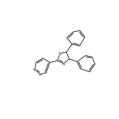 c1ccc(C2N=C(c3ccnnc3)OC2c2ccccc2)cc1